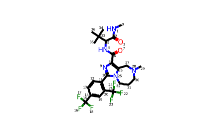 CNC(=O)C(NC(=O)c1nc(-c2ccc(C(F)(F)F)cc2C(F)(F)F)n2c1CN(C)CCC2)C(C)(C)C